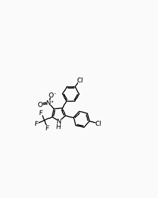 O=[N+]([O-])c1c(C(F)(F)F)[nH]c(-c2ccc(Cl)cc2)c1-c1ccc(Cl)cc1